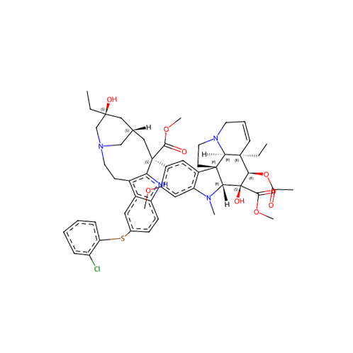 CC[C@]1(O)C[C@H]2CN(CCc3c([nH]c4ccc(Sc5ccccc5Cl)cc34)[C@@](C(=O)OC)(c3cc4c(cc3OC)N(C)[C@H]3[C@@](O)(C(=O)OC)[C@H](OC(C)=O)[C@]5(CC)C=CCN6CC[C@]43[C@@H]65)C2)C1